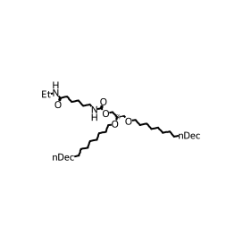 CCCCCCCCCCCCCCCCCCOC[C@H](COC(=O)NCCCCCC(=O)NCC)OCCCCCCCCCCCCCCCCCC